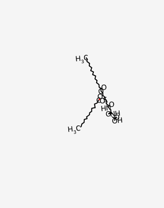 CCCCCCCCCCCCCCCC(=O)OCC(CSCCC(=O)NCC(=O)NCC(=O)O)OC(=O)CCCCCCCCCCCCCCC